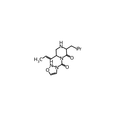 CC=CC1CNC(CC(C)C)C(=O)N1C(=O)N1C=CON1